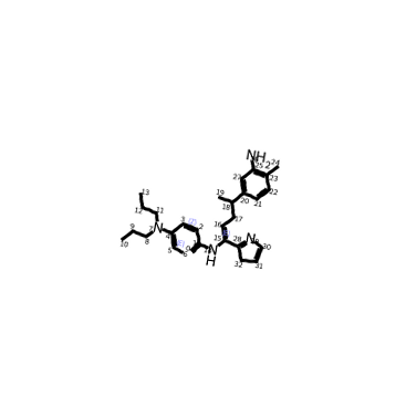 C=C(/C=C\C(=C/C)N(CCC)CCC)N/C(=C/CC(C)c1ccc(C)c(N)c1)C1=NC=CC1